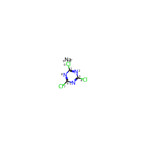 Clc1nc(Cl)nc(Cl)n1.[Na]